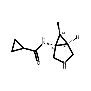 C[C@H]1[C@H]2CNC[C@]21NC(=O)C1CC1